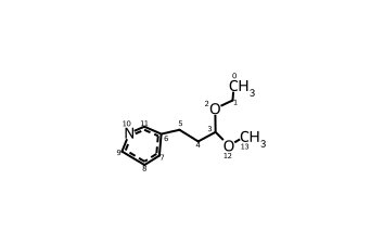 CCOC(CCc1cccnc1)OC